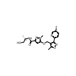 Cc1onc(-c2ccc(F)cn2)c1COc1cc(C(=O)N[C@@H](C)CO)nn1C